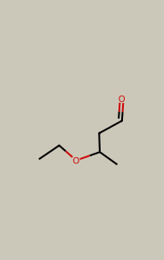 CCOC(C)CC=O